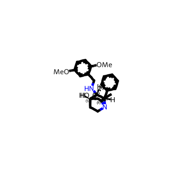 COc1ccc(OC)c(CN[C@H]2[C@H]3CCN(C(C)[C@@H]3C(=O)O)[C@H]2c2ccccc2)c1